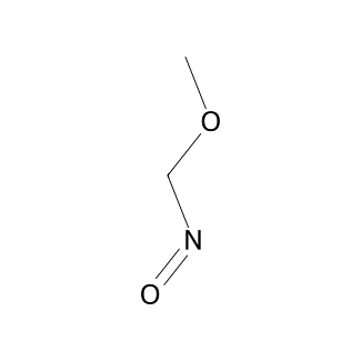 COCN=O